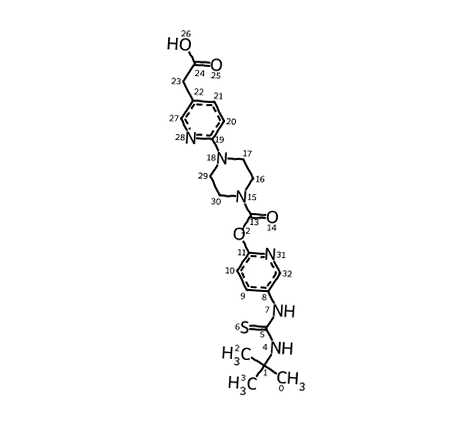 CC(C)(C)NC(=S)Nc1ccc(OC(=O)N2CCN(c3ccc(CC(=O)O)cn3)CC2)nc1